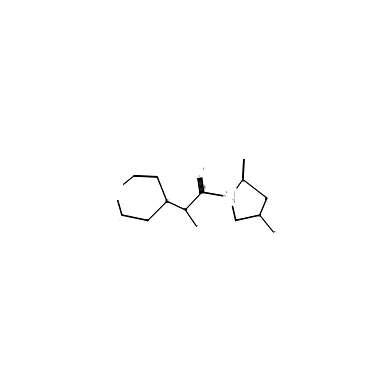 CC1CC(C)N(C(=O)C(C)C2CCOCC2)C1